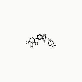 Cn1c(CN2CCNCC2)nc2ccc(C3CCC(=O)NC3=O)cc21